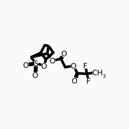 CC(F)(F)C(=O)OCC(=O)OC1C2CC3OS(=O)(=O)C1C3C2